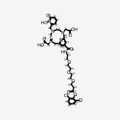 O=C(O)CN1CCN(Cc2cccc(=O)n2O)CCN(CC(=O)O)Cc2cc(C(=O)NCCOCCOCCOCCC(=O)Oc3c(Cl)cccc3Cl)cc(n2)C1